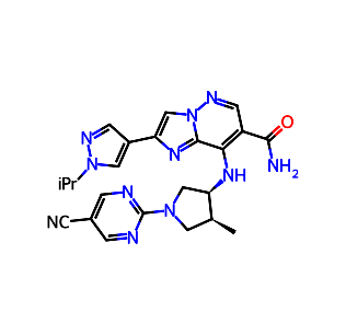 CC(C)n1cc(-c2cn3ncc(C(N)=O)c(N[C@@H]4CN(c5ncc(C#N)cn5)C[C@@H]4C)c3n2)cn1